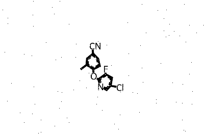 Cc1cc(C#N)ccc1Oc1ncc(Cl)cc1F